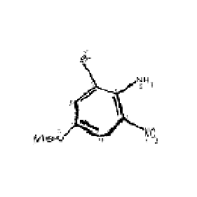 COc1cc(Br)c(N)c([N+](=O)[O-])c1